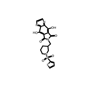 O=C1c2c(c(O)c3nccnc3c2O)C(=O)N1CC1CCCN(S(=O)(=O)c2cccs2)C1